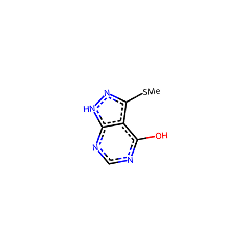 CSc1n[nH]c2ncnc(O)c12